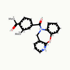 COC(=O)c1ccc(C(=O)N2Cc3cccnc3Oc3ccccc32)cc1OC